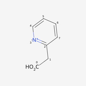 O=C(O)CC1=[N+]C=CC=C1